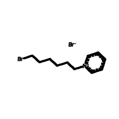 BrCCCCCC[n+]1ccccc1.[Br-]